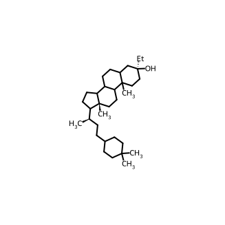 CC[C@]1(O)CCC2(C)C(CCC3C2CC[C@@]2(C)C3CCC2[C@H](C)CCC2CCC(C)(C)CC2)C1